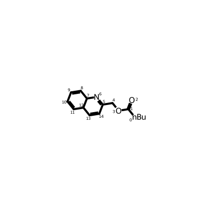 CCCCC(=O)OCC1=NC2C=CC=CC2C=C1